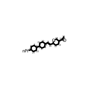 CCCC1CCC(C2CCC(/C=C/C3CCC(C4CO4)CO3)CC2)CC1